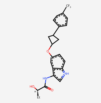 CC[C@@H](O)C(=O)Nc1c[nH]c2ccc(OC3CC(c4ccc(C(F)(F)F)cc4)C3)cc12